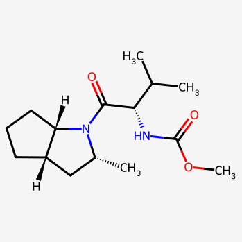 COC(=O)N[C@H](C(=O)N1[C@H](C)C[C@@H]2CCC[C@@H]21)C(C)C